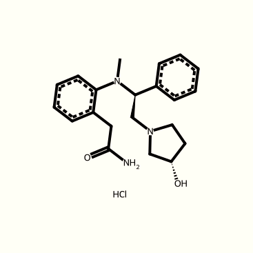 CN(c1ccccc1CC(N)=O)[C@H](CN1CC[C@H](O)C1)c1ccccc1.Cl